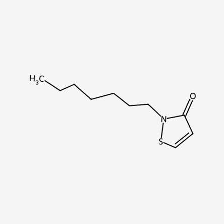 CCCCCCCn1sccc1=O